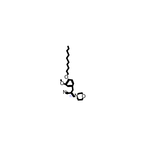 CCCCCCCCCCOc1ccc(C/C(C#N)=C\N2CCOCC2)cc1OC